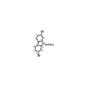 CCCCCCp1c2cc(Br)ccc2c2ccc(Br)cc21